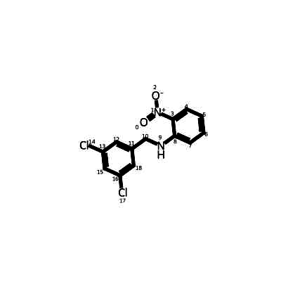 O=[N+]([O-])c1ccccc1NCc1cc(Cl)cc(Cl)c1